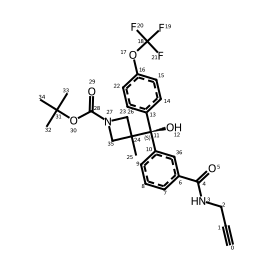 C#CCNC(=O)c1cccc([C@@](O)(c2ccc(OC(F)(F)F)cc2)C2(C)CN(C(=O)OC(C)(C)C)C2)c1